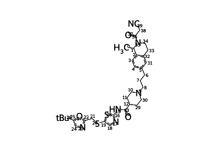 CC1c2ccc(CCCN3CCC(C(=O)Nc4ncc(SCc5ncc(C(C)(C)C)o5)s4)CC3)cc2CCN1C(=O)CC#N